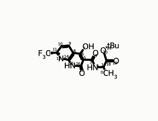 CC(NC(=O)c1c(O)c2ccc(C(F)(F)F)nc2[nH]c1=O)C(=O)OC(C)(C)C